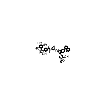 C=CC(=O)N1CCN(c2nc(OC[C@@H]3C[C@@H](NC(=O)c4ccc(-n5c(O)nnc5-c5cc(C(C)C)c(O)cc5O)cc4)CN3C)nc3c2CCN(c2cccc4cccc(Cl)c24)C3)CC1CC#N